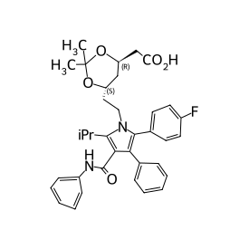 CC(C)c1c(C(=O)Nc2ccccc2)c(-c2ccccc2)c(-c2ccc(F)cc2)n1CC[C@H]1C[C@H](CC(=O)O)OC(C)(C)O1